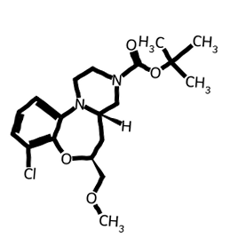 COC[C@@H]1C[C@H]2CN(C(=O)OC(C)(C)C)CCN2c2cccc(Cl)c2O1